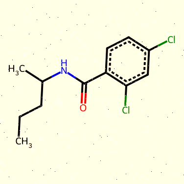 CCCC(C)NC(=O)c1ccc(Cl)cc1Cl